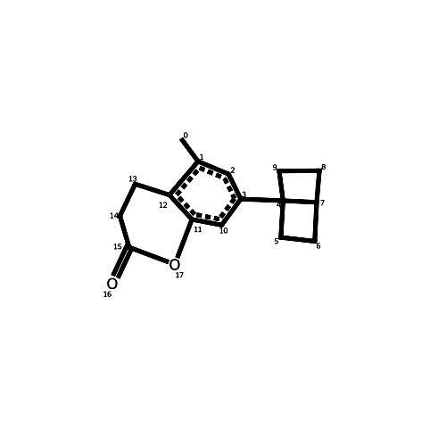 Cc1cc(C23CCC2CC3)cc2c1CCC(=O)O2